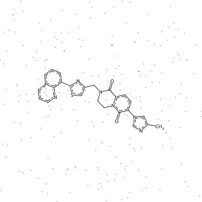 Cc1cn(-c2ccc3n(c2=O)CCN(Cc2csc(-c4cccc5cccnc45)n2)C3=O)cn1